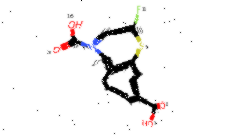 O=C(O)c1ccc2c(c1)S[C@H](F)CN(C(=O)O)C2